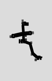 CC(C)[CH]CNS(=O)(=O)C(C)(C)C